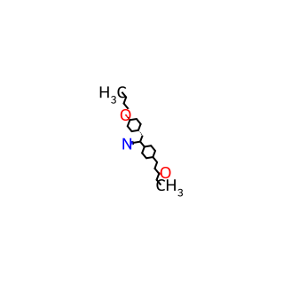 CCCCO[C@H]1CC[C@H](CC(C#N)C2CCC(CCC(=O)CC)CC2)CC1